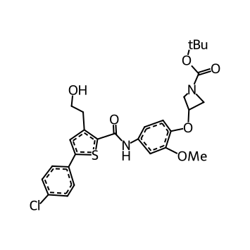 COc1cc(NC(=O)c2sc(-c3ccc(Cl)cc3)cc2CCO)ccc1OC1CN(C(=O)OC(C)(C)C)C1